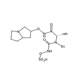 CCC[C@@H](C(=O)NOC1CC2CCCN2C1)N(CC)C(=O)NOS(=O)(=O)O